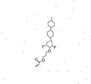 C=CC(=O)OCCCOC1C(F)CC(C2CCC(C3CCC(C)CC3)CC2)CC1F